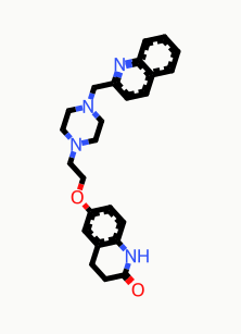 O=C1CCc2cc(OCCN3CCN(Cc4ccc5ccccc5n4)CC3)ccc2N1